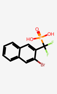 O=P(O)(O)C(F)(F)c1cc2ccccc2cc1Br